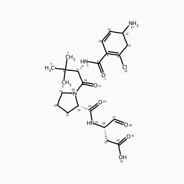 CC(C)(C)[C@H](NC(=O)C1=C(Cl)CC(N)C=C1)C(=O)N1CCC[C@H]1C(=O)N[C@H](C=O)CC(=O)O